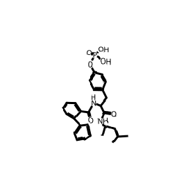 CC(C)CC(C)NC(=O)C(Cc1ccc(OP(=O)(O)O)cc1)NC(=O)c1ccccc1-c1ccccc1